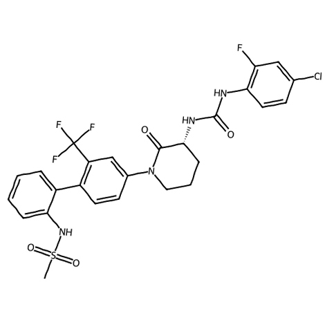 CS(=O)(=O)Nc1ccccc1-c1ccc(N2CCC[C@@H](NC(=O)Nc3ccc(Cl)cc3F)C2=O)cc1C(F)(F)F